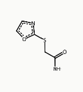 [NH]C(=O)CSc1ncco1